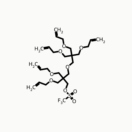 C=CCOCC(COCC=C)(COCC=C)COCC(COCC=C)(COCC=C)COS(=O)(=O)C(F)(F)F